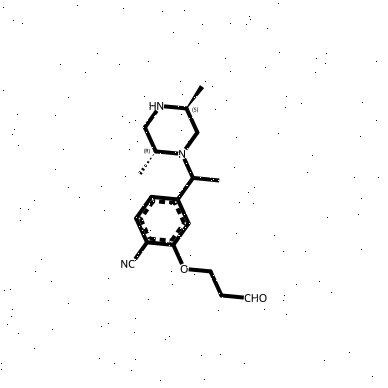 CC(c1ccc(C#N)c(OCCC=O)c1)N1C[C@H](C)NC[C@H]1C